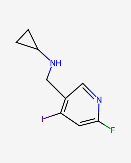 Fc1cc(I)c(CNC2CC2)cn1